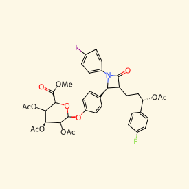 COC(=O)[C@H]1O[C@@H](Oc2ccc([C@@H]3C(CC[C@H](OC(C)=O)c4ccc(F)cc4)C(=O)N3c3ccc(I)cc3)cc2)C(OC(C)=O)[C@@H](OC(C)=O)C1OC(C)=O